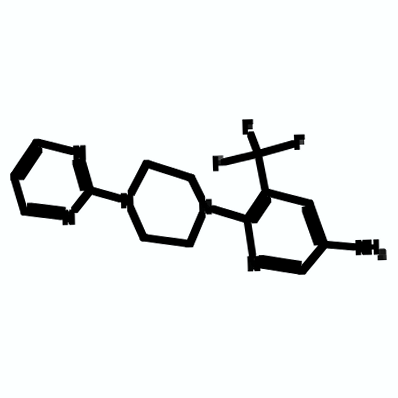 Nc1cnc(N2CCN(c3ncccn3)CC2)c(C(F)(F)F)c1